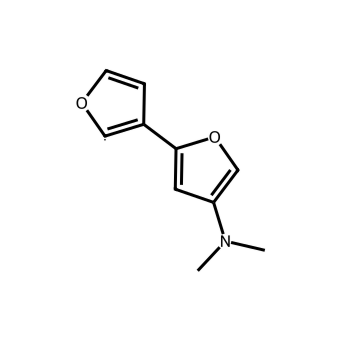 CN(C)c1coc(-c2[c]occ2)c1